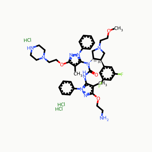 COCCN1C[C@@H](N(C(=O)Nc2c(C)c(OCCN)nn2-c2ccccc2)c2c(C)c(OCCN3CCNCC3)nn2-c2ccccc2)[C@H](c2cc(F)cc(F)c2)C1.Cl.Cl.Cl